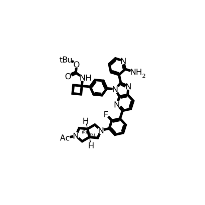 CC(=O)N1C[C@@H]2CN(c3cccc(-c4ccc5nc(-c6cccnc6N)n(-c6ccc(C7(NC(=O)OC(C)(C)C)CCC7)cc6)c5n4)c3F)C[C@@H]2C1